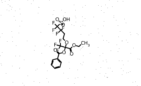 CCOC(=O)C(OCCC(F)(F)C(F)(F)S(=O)(=O)O)(OC(=O)c1ccccc1)C(F)(F)F